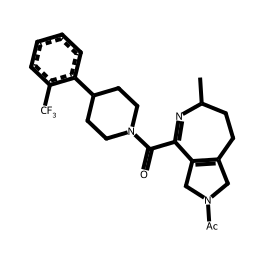 CC(=O)N1CC2=C(C1)C(C(=O)N1CCC(c3ccccc3C(F)(F)F)CC1)=NC(C)CC2